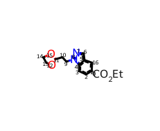 CCOC(=O)c1ccc2c(cnn2CCC2OCCO2)c1